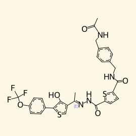 CC(=O)NCc1ccc(CNC(=O)c2ccc(C(=O)N/N=C(\C)c3csc(-c4ccc(OC(F)(F)F)cc4)c3O)s2)cc1